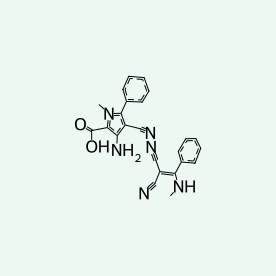 CNC(=C(C#N)C#N)c1ccccc1.Cn1c(C(=O)O)c(N)c(C#N)c1-c1ccccc1